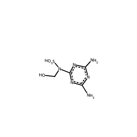 Nc1nc(N)nc(N(CO)S(=O)(=O)O)n1